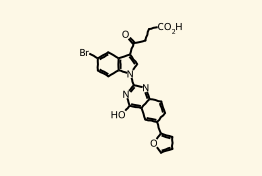 O=C(O)CCC(=O)c1cn(-c2nc(O)c3cc(-c4ccco4)ccc3n2)c2ccc(Br)cc12